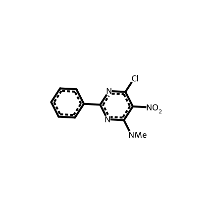 CNc1nc(-c2ccccc2)nc(Cl)c1[N+](=O)[O-]